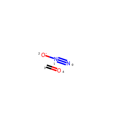 N#[N+][O-].[C]=O